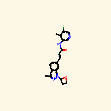 Cc1c(F)cncc1NC(=O)/C=C/c1ccc2c(C)nn(C3CCO3)c2c1